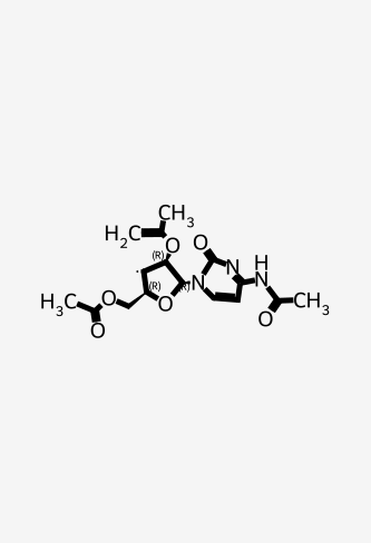 C=C(C)O[C@@H]1[CH][C@H](COC(C)=O)O[C@H]1n1ccc(NC(C)=O)nc1=O